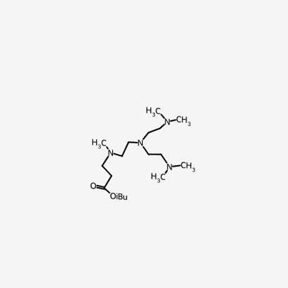 CC(C)COC(=O)CCN(C)CCN(CCN(C)C)CCN(C)C